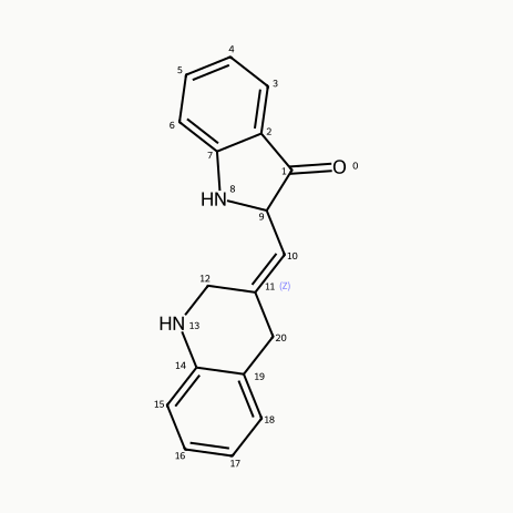 O=C1c2ccccc2NC1/C=C1\CNc2ccccc2C1